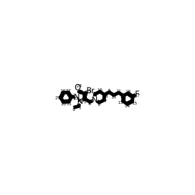 CCn1c(CN2CCC(CCCc3cccc(F)c3)CC2)c(Br)c(=O)n1-c1ccccc1